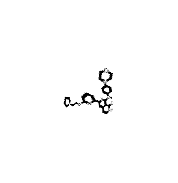 O=c1[nH]ccc2cc(-c3cccc(OCCN4CCCC4)n3)nc(Nc3ccc(N4CCOCC4)cc3)c12